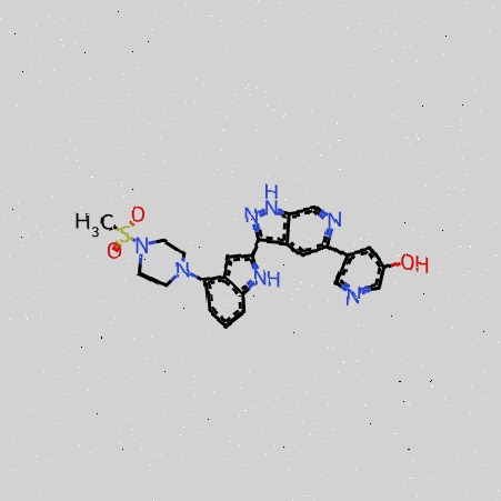 CS(=O)(=O)N1CCN(c2cccc3[nH]c(-c4n[nH]c5cnc(-c6cncc(O)c6)cc45)cc23)CC1